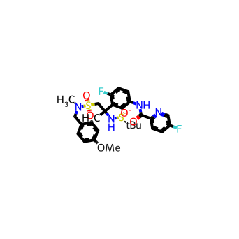 COc1ccc(CN(C)S(=O)(=O)CC(C)(N[S@+]([O-])C(C)(C)C)c2cc(NC(=O)c3ccc(F)cn3)ccc2F)cc1